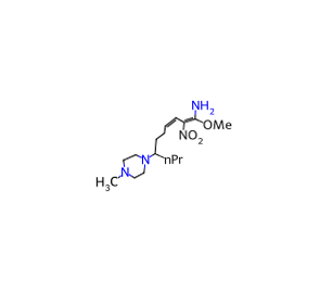 CCCC(CC/C=C\C(=C(/N)OC)[N+](=O)[O-])N1CCN(C)CC1